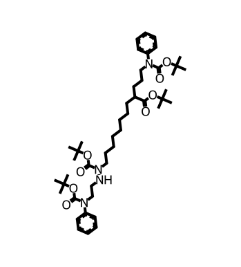 CC(C)(C)OC(=O)C(CCCCCCCCN(NCCN(C(=O)OC(C)(C)C)c1ccccc1)C(=O)OC(C)(C)C)CCCN(C(=O)OC(C)(C)C)c1ccccc1